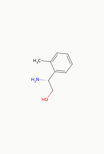 Cc1ccccc1[C@@H](N)CO